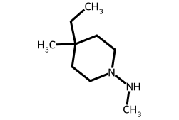 CCC1(C)CCN(NC)CC1